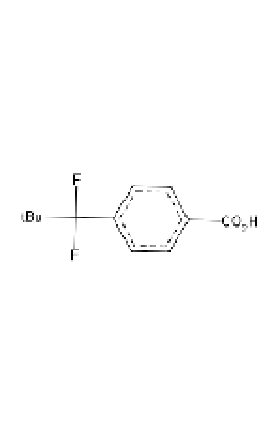 CC(C)(C)C(F)(F)c1ccc(C(=O)O)cc1